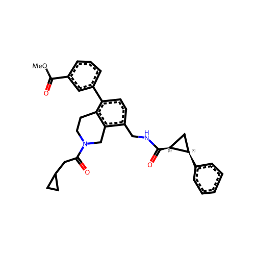 COC(=O)c1cccc(-c2ccc(CNC(=O)[C@H]3C[C@H]3c3ccccc3)c3c2CCN(C(=O)CC2CC2)C3)c1